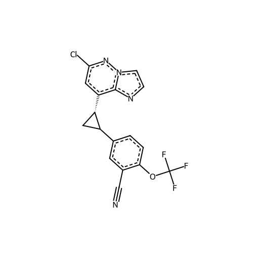 N#Cc1cc(C2C[C@@H]2c2cc(Cl)nn3ccnc23)ccc1OC(F)(F)F